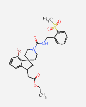 CCOC(=O)CC1CC2(CCN(C(=O)NCc3ccccc3S(C)(=O)=O)CC2)c2c(Br)cccc21